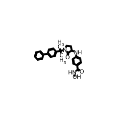 CC(C)(c1ccc(-c2ccccc2)cc1)N1CCC(Nc2ccc(C(=O)NO)cc2)C1=O